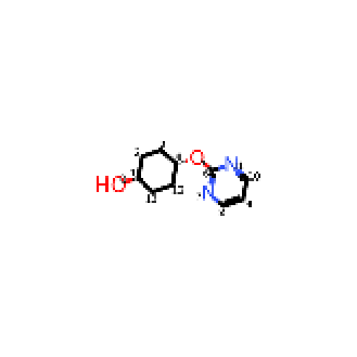 O[C@H]1CC[C@H](Oc2ncccn2)CC1